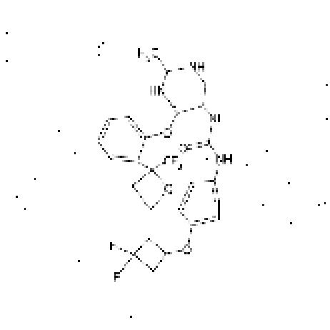 CC1NCC(NC(=O)Nc2ccc(OC3CC(F)(F)C3)cc2)C(Oc2ccccc2C2(C(F)(F)F)CCO2)N1